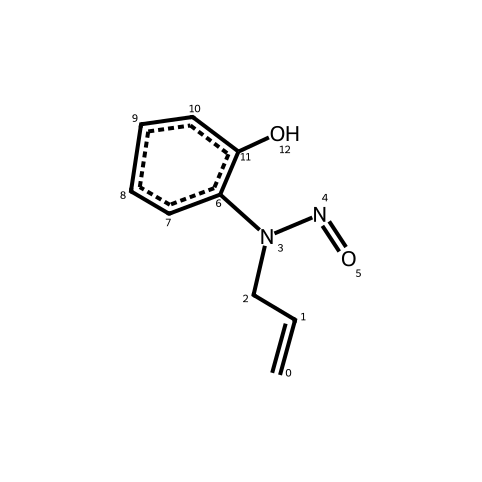 C=CCN(N=O)c1ccccc1O